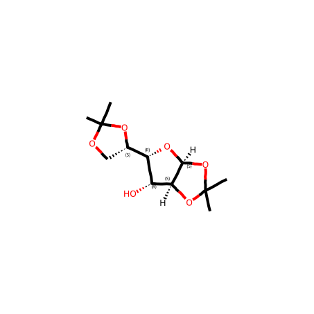 CC1(C)O[C@@H]2O[C@@H]([C@@H]3COC(C)(C)O3)[C@@H](O)[C@@H]2O1